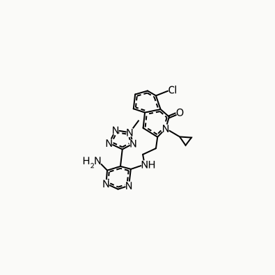 Cn1nnc(-c2c(N)ncnc2NCCc2cc3cccc(Cl)c3c(=O)n2C2CC2)n1